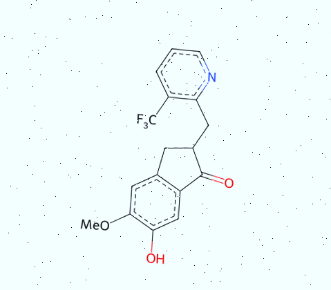 COc1cc2c(cc1O)C(=O)C(Cc1ncccc1C(F)(F)F)C2